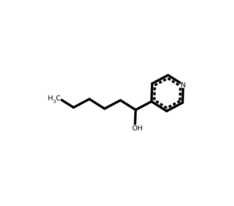 CCCCCC(O)c1ccncc1